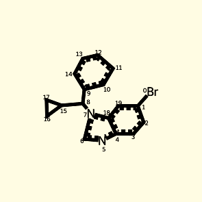 Brc1ccc2ncn(C(c3ccccc3)C3CC3)c2c1